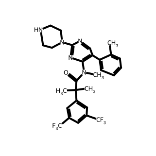 Cc1ccccc1-c1cnc(N2CCNCC2)nc1N(C)C(=O)C(C)(C)c1cc(C(F)(F)F)cc(C(F)(F)F)c1